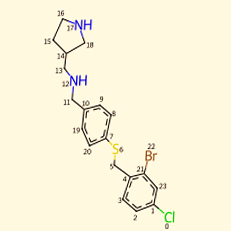 Clc1ccc(CSc2ccc(CNCC3CCNC3)cc2)c(Br)c1